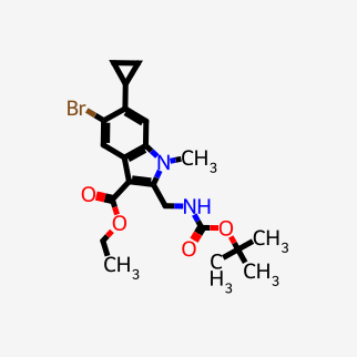 CCOC(=O)c1c(CNC(=O)OC(C)(C)C)n(C)c2cc(C3CC3)c(Br)cc12